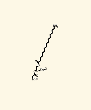 CCCCCCCCCCCC(=O)O[C@@H](COP=O)COC(=O)CCCCCCCCCCCCCCCN